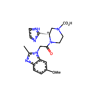 COc1ccc2nc(C)n(CC(=O)N3CCN(C(=O)O)C[C@H]3c3ncc[nH]3)c2c1